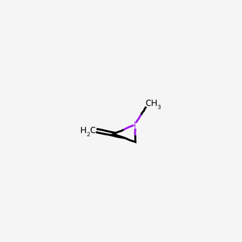 C=C1CI1C